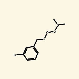 CN(C)OOSCc1cccc(Br)c1